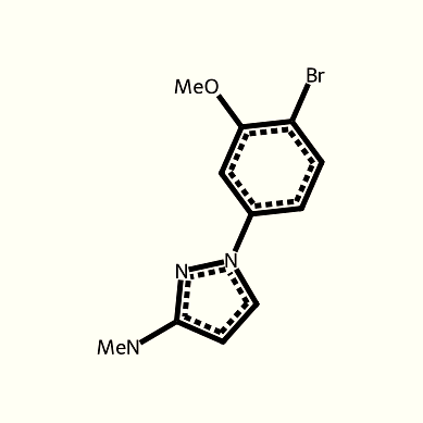 CNc1ccn(-c2ccc(Br)c(OC)c2)n1